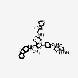 C[C@@H](Nc1cnc(-c2ccc(O[C@@H]3CO[C@H]4[C@@H]3OC[C@H]4O)cc2)n(CC(=O)NCc2cc3cnccc3[nH]2)c1=O)c1ccc2oc3ccccc3c2c1